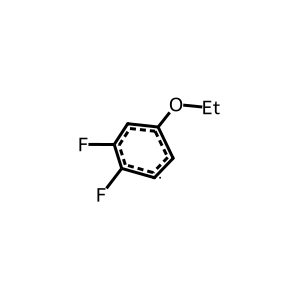 CCOc1c[c]c(F)c(F)c1